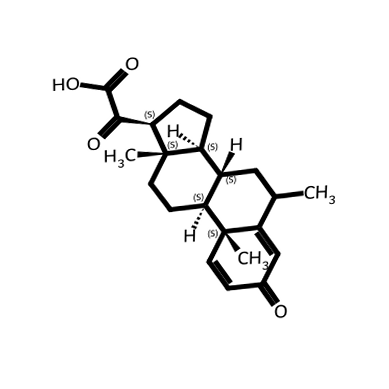 CC1C[C@H]2[C@@H]3CC[C@H](C(=O)C(=O)O)[C@@]3(C)CC[C@@H]2[C@@]2(C)C=CC(=O)C=C12